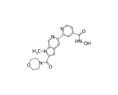 Cn1c(C(=O)N2CCOCC2)cc2cc(-c3cc(C(=O)NO)ccn3)ncc21